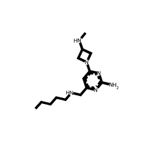 CCCCCNCc1cc(N2CC(NC)C2)nc(N)n1